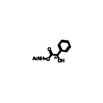 CC(=O)NOC(=O)[C@H](O)c1ccccc1